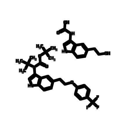 CC(C)(C)OC(=O)N(c1c[nH]c2ccc(CCOc3ccc(C(F)(F)F)cc3)cc12)C(C)(C)C.O=C(O)Nc1c[nH]c2ccc(CCO)cc12